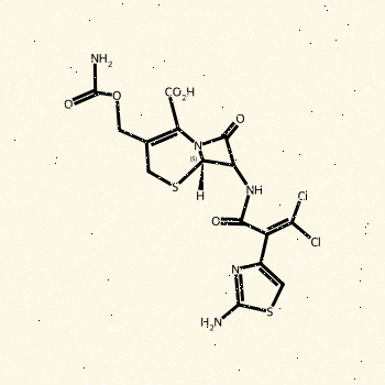 NC(=O)OCC1=C(C(=O)O)N2C(=O)C(NC(=O)C(=C(Cl)Cl)c3csc(N)n3)[C@@H]2SC1